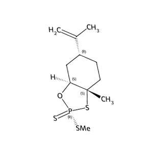 C=C(C)[C@@H]1CC[C@]2(C)S[P@](=S)(SC)O[C@H]2C1